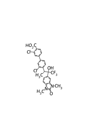 CC(c1ccc(-c2ccc(C(=O)O)c(Cl)c2)cc1Cl)C(O)(c1ccc2c(c1)n(C)c(=O)n2C)C(F)(F)F